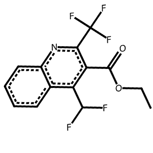 CCOC(=O)c1c(C(F)(F)F)nc2ccccc2c1C(F)F